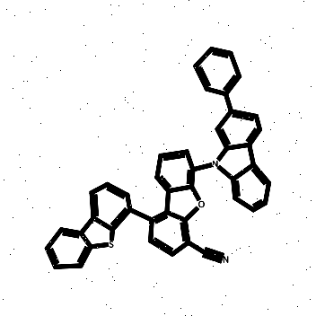 N#Cc1ccc(-c2cccc3c2sc2ccccc23)c2c1oc1c(-n3c4ccccc4c4ccc(-c5ccccc5)cc43)cccc12